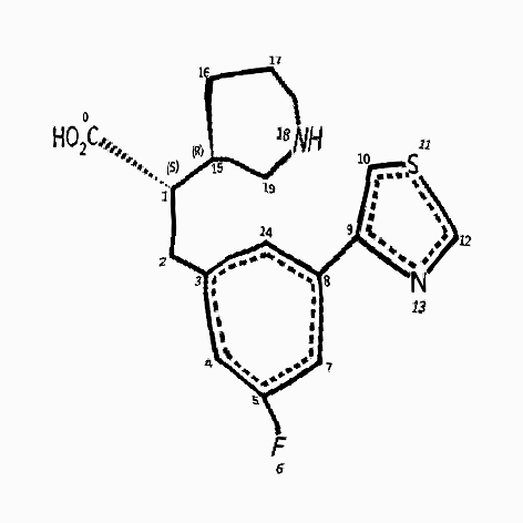 O=C(O)[C@@H](Cc1cc(F)cc(-c2cscn2)c1)[C@H]1CCNC1